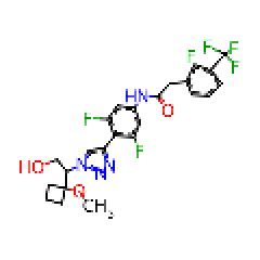 COC1(C(CO)n2cc(-c3c(F)cc(NC(=O)Cc4cccc(C(F)(F)F)c4F)cc3F)nn2)CCC1